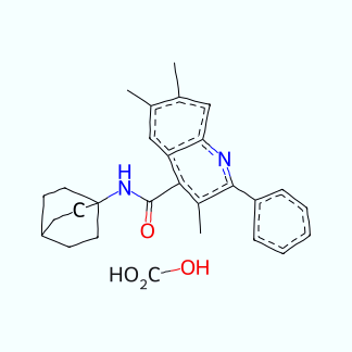 Cc1cc2nc(-c3ccccc3)c(C)c(C(=O)NC34CCC(CC3)CC4)c2cc1C.O=C(O)O